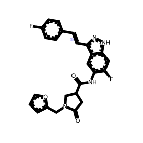 O=C(Nc1cc2c(/C=C/c3ccc(F)cc3)n[nH]c2cc1F)C1CC(=O)N(Cc2ccco2)C1